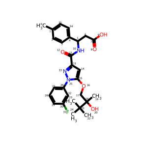 Cc1ccc(C(CC(=O)O)NC(=O)c2cc(OCC(C)(O)C(C)(C)C)n(-c3cccc(F)c3)n2)cc1